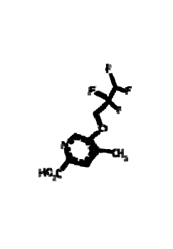 Cc1cc(C(=O)O)ncc1OCC(F)(F)C(F)F